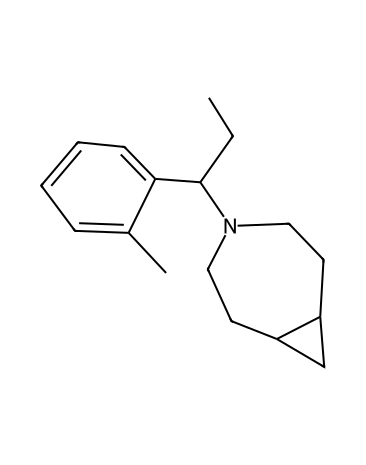 CCC(c1ccccc1C)N1CCC2CC2CC1